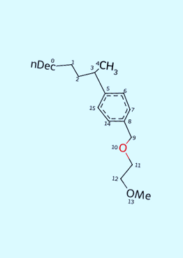 CCCCCCCCCCCCC(C)c1ccc(COCCOC)cc1